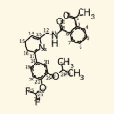 CC(=O)c1ccccc1C(=O)NCC1=CCCC(c2ccc(OC(F)F)c(OC(C)C)c2)=N1